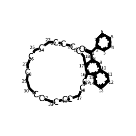 O=C(c1ccccc1)c1cc2ccccc2c2c1CCCCCCCCCCCCCCCCCCCCCC2